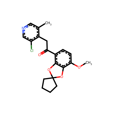 COc1ccc(C(=O)Cc2c(C)cncc2Cl)c2c1OC1(CCCC1)O2